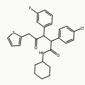 O=C(NC1CCCCC1)C(c1ccc(Cl)cc1)N(C(=O)Cc1cccs1)c1cccc(F)c1